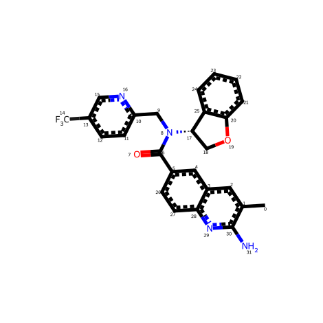 Cc1cc2cc(C(=O)N(Cc3ccc(C(F)(F)F)cn3)[C@H]3COc4ccccc43)ccc2nc1N